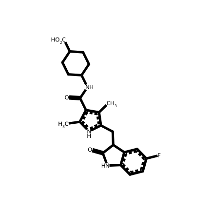 Cc1[nH]c(CC2C(=O)Nc3ccc(F)cc32)c(C)c1C(=O)NC1CCC(C(=O)O)CC1